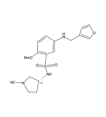 COc1ccc(NCc2ccoc2)cc1S(=O)(=O)N[C@@H]1CCN(C#N)C1